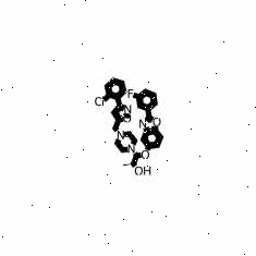 C[C@@H](O)C(Oc1ccc2oc(-c3cccc(F)c3)nc2c1)N1CCN(Cc2cc(-c3ccccc3Cl)no2)CC1